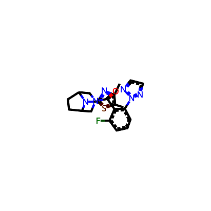 Cc1nc(N2C3CCC2CN(C(=O)c2c(F)cccc2-n2nccn2)C3)sc1C